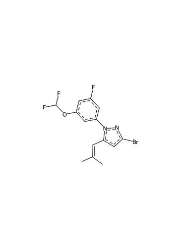 CC(C)=Cc1cc(Br)nn1-c1cc(F)cc(OC(F)F)c1